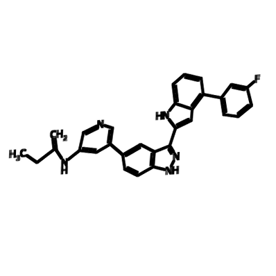 C=C(CC)Nc1cncc(-c2ccc3[nH]nc(-c4cc5c(-c6cccc(F)c6)cccc5[nH]4)c3c2)c1